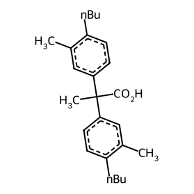 CCCCc1ccc(C(C)(C(=O)O)c2ccc(CCCC)c(C)c2)cc1C